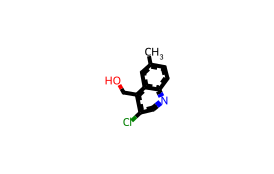 Cc1ccc2ncc(Cl)c(CO)c2c1